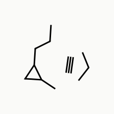 C#C.CCC.CCCC1CC1C